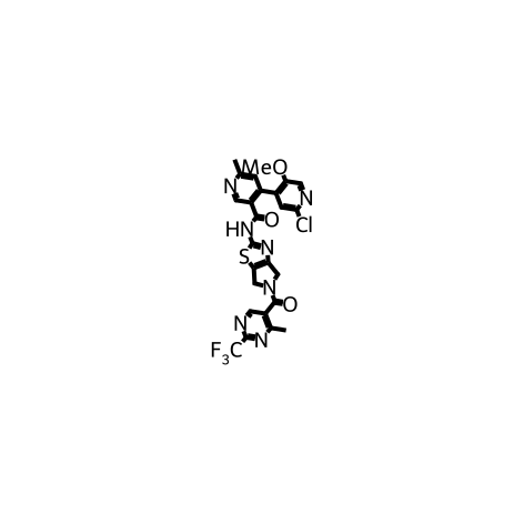 COc1cnc(Cl)cc1-c1cc(C)ncc1C(=O)Nc1nc2c(s1)CN(C(=O)c1cnc(C(F)(F)F)nc1C)C2